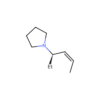 C/C=C\[C@@H](CC)N1CCCC1